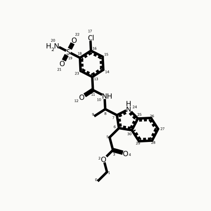 CCOC(=O)Cc1c(C(C)NC(=O)c2ccc(Cl)c(S(N)(=O)=O)c2)[nH]c2ccccc12